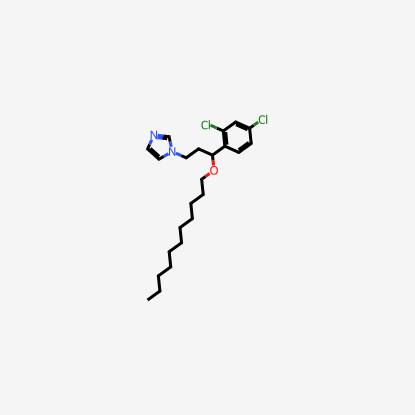 CCCCCCCCCCCOC(CCn1ccnc1)c1ccc(Cl)cc1Cl